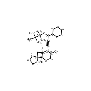 CC(C)(C)[Si](C)(C)O[C@H](C#C[C@@H]1[C@@H](O)CC[C@]2(C)[C@H]1CC21OCCO1)C1CCCCC1